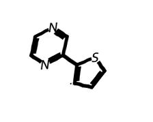 [c]1ccsc1-c1cnccn1